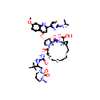 COc1ccc2c(O[C@@H]3C[C@H]4C(=O)N[C@]5(C(=O)O)CC5CCCCCCC[C@H](NC(=O)NC(CN5CCCN(C)S5(=O)=O)C(C)(C)C)C(=O)N4C3)cc(-c3csc(NC(C)C)n3)nc2c1